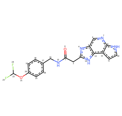 O=C(Cc1nc2cnc3[nH]ccc3c2[nH]1)NCc1ccc(OC(F)F)cc1